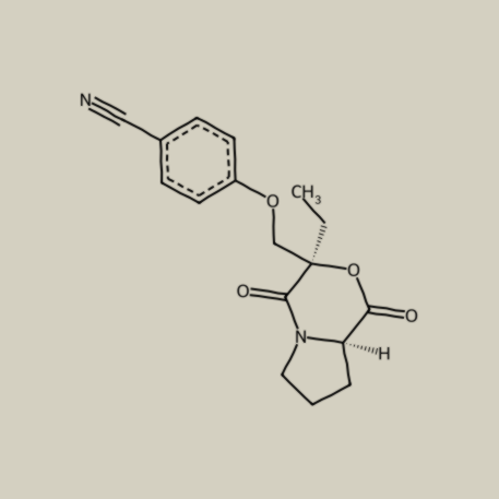 CC[C@]1(COc2ccc(C#N)cc2)OC(=O)[C@H]2CCCN2C1=O